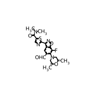 C[C@@H]1CN(c2c(C=O)cc3c(-c4ncc(C(=O)N(C)C)s4)noc3c2F)C[C@H](C)O1